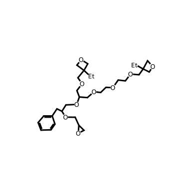 CCC1(COCCOCCOCC(COCC2(CC)COC2)OCC(Cc2ccccc2)OCC2CO2)COC1